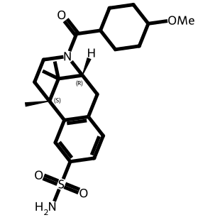 COC1CCC(C(=O)N2CC[C@@]3(C)c4cc(S(N)(=O)=O)ccc4C[C@@H]2C3(C)C)CC1